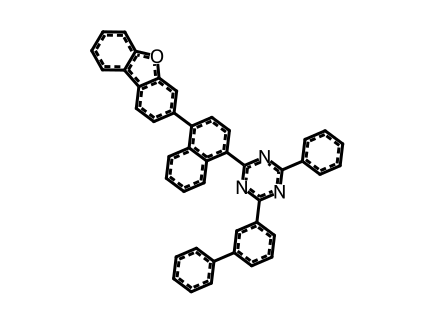 c1ccc(-c2cccc(-c3nc(-c4ccccc4)nc(-c4ccc(-c5ccc6c(c5)oc5ccccc56)c5ccccc45)n3)c2)cc1